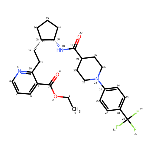 CCOC(=O)c1cccnc1CC[C@@H]1CCC[C@@H]1NC(=O)C1CCN(c2ccc(C(F)(F)F)cc2)CC1